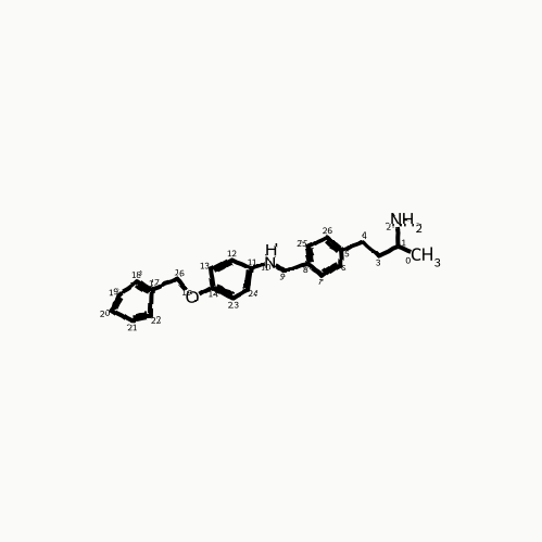 CC(N)CCc1ccc(CNc2ccc(OCc3ccccc3)cc2)cc1